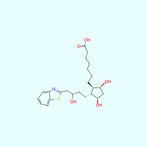 O=C(O)CCCCCC[C@@H]1[C@@H](CCC(O)Cc2nc3ccccc3s2)[C@H](O)C[C@@H]1O